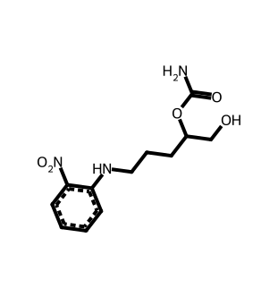 NC(=O)OC(CO)CCCNc1ccccc1[N+](=O)[O-]